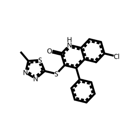 Cc1nnc(Sc2c(-c3ccccc3)c3cc(Cl)ccc3[nH]c2=O)s1